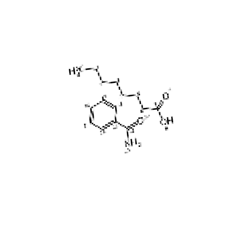 CCCCCCCC(=O)O.NC(=O)c1ccccc1